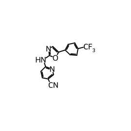 N#Cc1ccc(Nc2ncc(-c3ccc(C(F)(F)F)cc3)o2)nc1